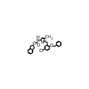 Cc1cc(NC(=O)OC2Cc3ccccc3C2)nn1Cc1cc(Cl)ccc1OCc1ccccc1